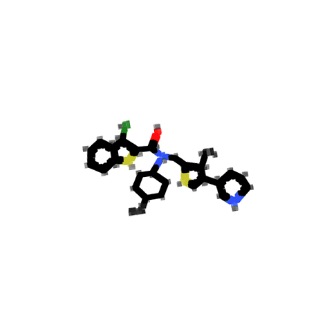 CNC1CCC(N(Cc2scc(-c3cccnc3)c2C)C(=O)c2sc3ccccc3c2Cl)CC1